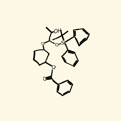 CC(O)C(OC1CCCC(OC(=O)c2ccccc2)C1)O[Si](c1ccccc1)(c1ccccc1)C(C)(C)C